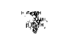 CCC/C(=N\c1cc(N(CC)C(=O)C(C)N2CCOCC2)c(C)cc1C)c1n[nH]c2c1CC1C(C2)[C@H]1C